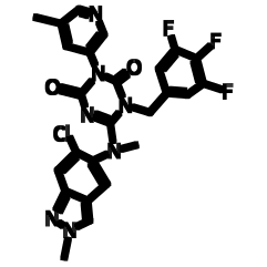 Cc1cncc(-n2c(=O)nc(N(C)c3cc4cn(C)nc4cc3Cl)n(Cc3cc(F)c(F)c(F)c3)c2=O)c1